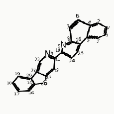 c1ccc2c(c1)ccc1nc(-c3cc4sc5ccccc5c4cn3)ccc12